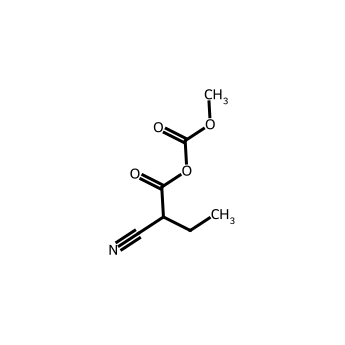 CCC(C#N)C(=O)OC(=O)OC